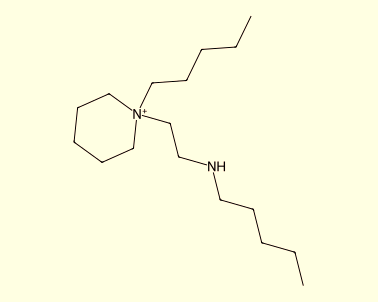 CCCCCNCC[N+]1(CCCCC)CCCCC1